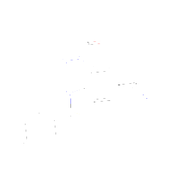 CCC(=O)N(N)c1cc(C(N)=O)cc2sc(C3CCCCC3)nc12